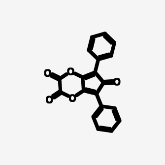 O=C1C(c2ccccc2)=c2oc(=O)c(=O)oc2=C1c1ccccc1